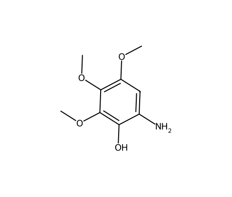 COc1cc(N)c(O)c(OC)c1OC